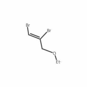 C[CH]OC/C(Br)=C/Br